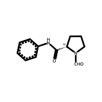 O=CN1CCC[C@H]1C(=O)Nc1ccccc1